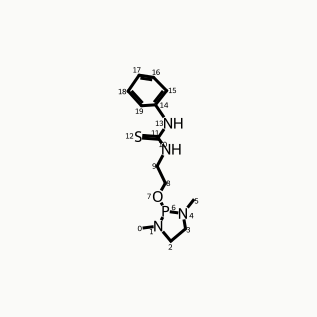 CN1CCN(C)P1OCCNC(=S)Nc1ccccc1